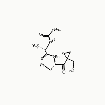 CCCCCCC(=O)N[C@@H](C)C(=O)N[C@@H](CC(C)C)C(=O)C1(CO)CO1